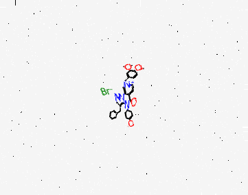 COc1ccc(-n2c(=O)c3cc[n+](Cc4ccc(OC)c(OC)c4)cc3n3ncc(Cc4ccccc4)c23)cc1.[Br-]